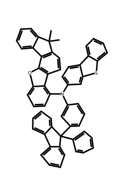 CC1(C)c2ccccc2-c2c1ccc1c2oc2cccc(N(c3cccc(C4(c5ccccc5)c5ccccc5-c5ccccc54)c3)c3ccc4c(c3)sc3ccccc34)c21